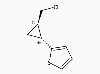 ClC[C@@H]1C[C@H]1c1cccs1